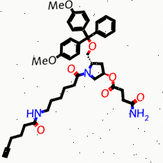 C#CCCCC(=O)NCCCCCC(=O)N1C[C@H](OC(=O)CCC(N)=O)C[C@H]1COC(c1ccccc1)(c1ccc(OC)cc1)c1ccc(OC)cc1